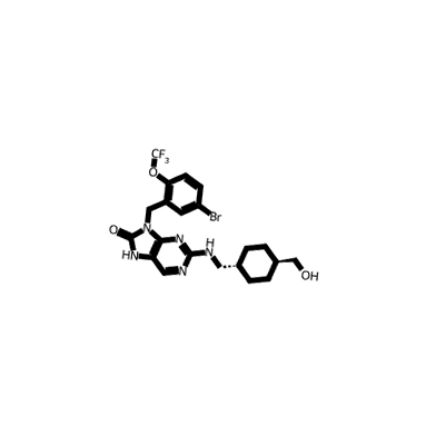 O=c1[nH]c2cnc(NC[C@H]3CC[C@H](CO)CC3)nc2n1Cc1cc(Br)ccc1OC(F)(F)F